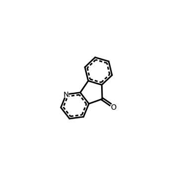 O=C1c2ccccc2-c2ncccc21